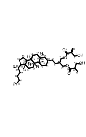 C=C(CO)C(=O)OCC(CC[C@H]1CC[C@@]2(C)[C@@H](CC[C@@H]3[C@@H]2CC[C@]2(C)[C@@H]([C@H](C)CCCC(C)C)CC[C@@H]32)C1)COC(=O)C(C)CO